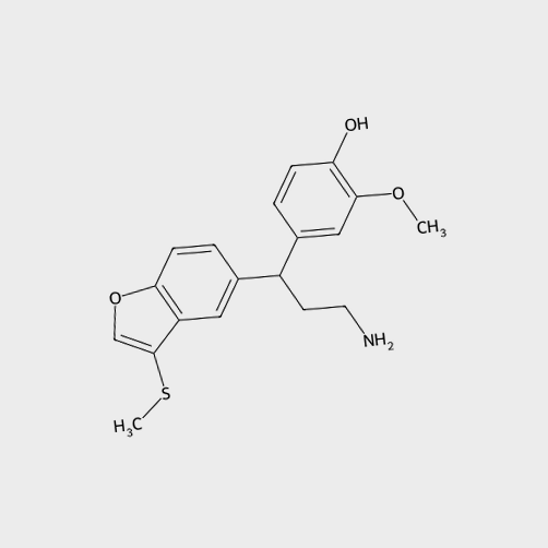 COc1cc(C(CCN)c2ccc3occ(SC)c3c2)ccc1O